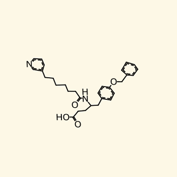 O=C(O)CCC(Cc1ccc(OCc2ccccc2)cc1)NC(=O)CCCCCCc1cccnc1